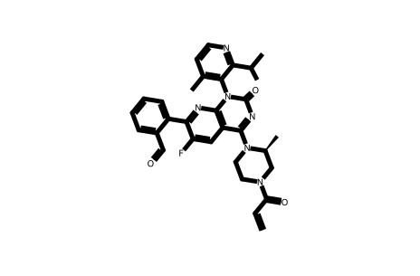 C=CC(=O)N1CCN(c2nc(=O)n(-c3c(C)ccnc3C(C)C)c3nc(-c4ccccc4C=O)c(F)cc23)[C@@H](C)C1